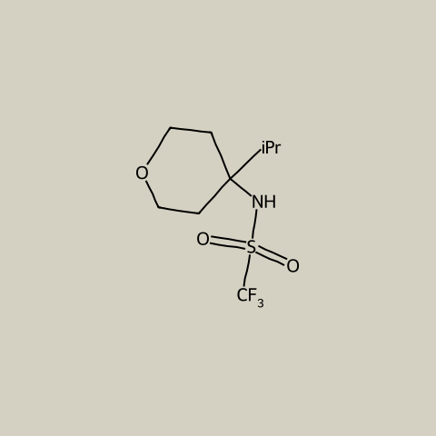 CC(C)C1(NS(=O)(=O)C(F)(F)F)CCOCC1